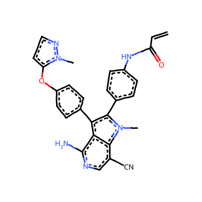 C=CC(=O)Nc1ccc(-c2c(-c3ccc(Oc4ccnn4C)cc3)c3c(N)ncc(C#N)c3n2C)cc1